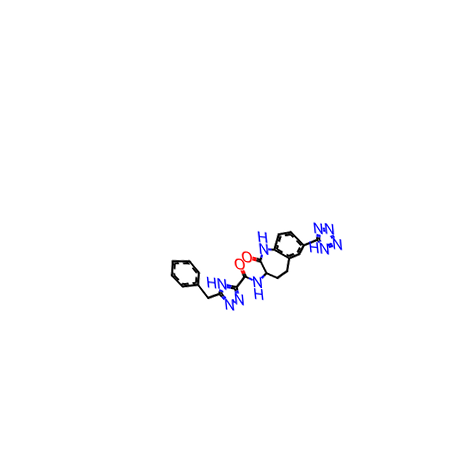 O=C(NC1CCc2cc(-c3nnn[nH]3)ccc2NC1=O)c1nnc(Cc2ccccc2)[nH]1